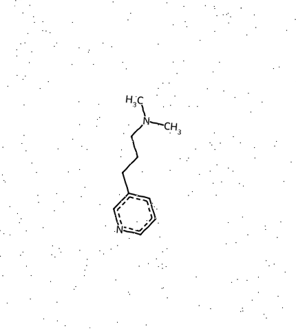 CN(C)CCCc1cccnc1